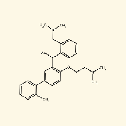 CC(=O)C(c1ccccc1CN(C)C)c1cc(-c2ccccc2C)ccc1OCCN(C)C